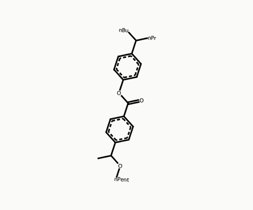 CCCCCOC(C)c1ccc(C(=O)Oc2ccc(C(CCC)CCCC)cc2)cc1